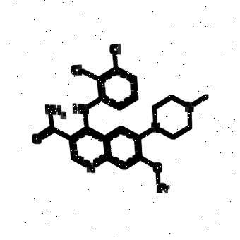 CC(C)Oc1cc2ncc(C(N)=O)c(Nc3cccc(Cl)c3Cl)c2cc1N1CCN(C)CC1